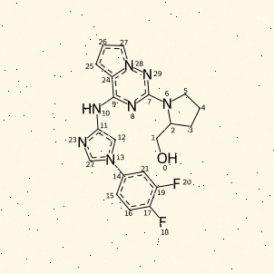 OCC1CCCN1c1nc(Nc2cn(-c3ccc(F)c(F)c3)cn2)c2cccn2n1